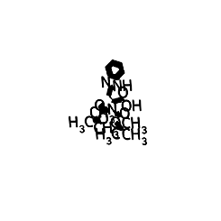 CC(C)(C)OC(=O)N(C(=O)OC(C)(C)C)[C@H](Cc1nc2ccccc2[nH]1)C(=O)O